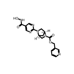 O=C(NO)c1cnc(N2C[C@@H]3C[C@H]2CN3C(=O)OCc2cccnc2)nc1